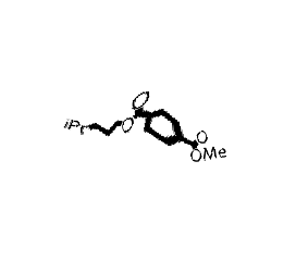 COC(=O)C1CCC(C(=O)OCCCC(C)C)CC1